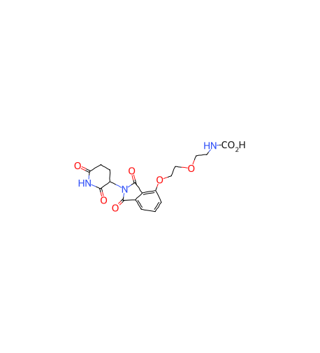 O=C(O)NCCOCCOc1cccc2c1C(=O)N(C1CCC(=O)NC1=O)C2=O